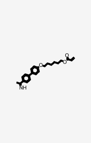 C=CC(=O)OCCCCCCOc1ccc(-c2ccc(C(C)=N)cc2)cc1